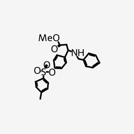 COC(=O)CC(NCc1ccccc1)c1ccc(OS(=O)(=O)c2ccc(C)cc2)cc1